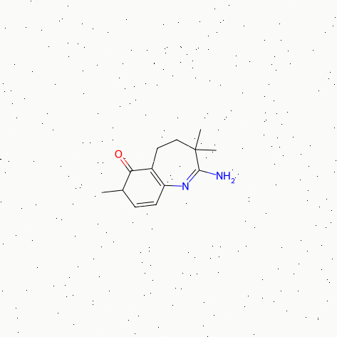 CC1C=CC2=C(CCC(C)(C)C(N)=N2)C1=O